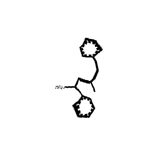 CCCCC(C=C(C)Cc1ccccc1)c1ccccc1